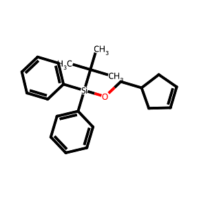 CC(C)(C)[Si](OCC1CC=CC1)(c1ccccc1)c1ccccc1